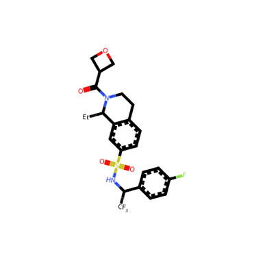 CCC1c2cc(S(=O)(=O)NC(c3ccc(F)cc3)C(F)(F)F)ccc2CCN1C(=O)C1COC1